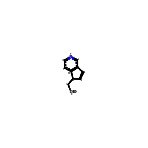 O=[C]CC1C=Cc2cnccc21